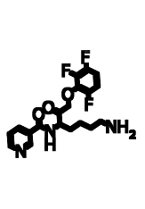 NCCCCC(NC(=O)c1cccnc1)C(=O)COc1c(F)ccc(F)c1F